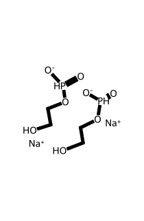 O=[PH]([O-])OCCO.O=[PH]([O-])OCCO.[Na+].[Na+]